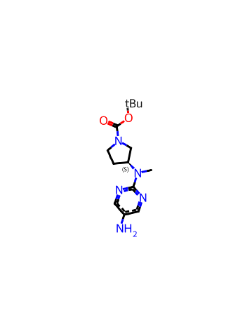 CN(c1ncc(N)cn1)[C@H]1CCN(C(=O)OC(C)(C)C)C1